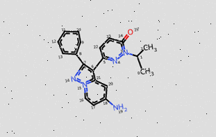 CC(C)n1nc(-c2c(-c3ccccc3)nn3ccc(N)cc23)ccc1=O